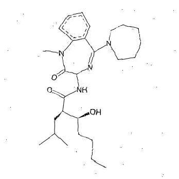 CCCC[C@H](O)[C@@H](CC(C)C)C(=O)NC1N=C(N2CCCCCC2)c2ccccc2N(C)C1=O